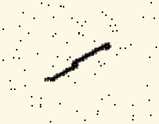 CCCOCCOCCOCCOCCOc1ccc(OCCOCCOCCOCCOCCOCc2ccccc2)cc1